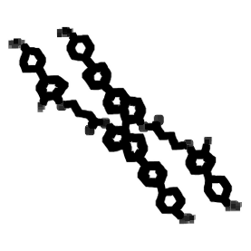 CCCC1CCC(c2ccc(-c3ccc4c(-c5c(OC(=O)CCCOc6ccc(C7CCC(CCC)CC7)cc6F)ccc6cc(-c7ccc(C8CCC(CCC)CC8)cc7)ccc56)c(OC(=O)CCCOc5ccc(C6CCC(CCC)CC6)cc5F)ccc4c3)cc2)CC1